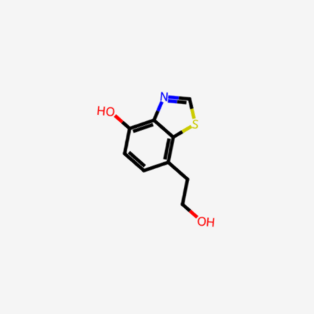 OCCc1ccc(O)c2ncsc12